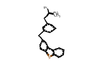 CC(C)C(C)Cc1cccc(Cc2ccc3sc4ccccc4c3c2)c1